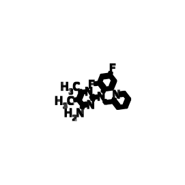 Cc1nc(N(Cc2ccccn2)c2ccc(F)cc2F)nc(N)c1C